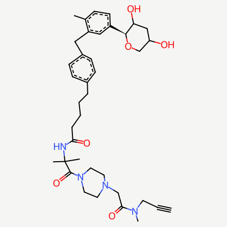 C#CCN(C)C(=O)CN1CCN(C(=O)C(C)(C)NC(=O)CCCCc2ccc(Cc3cc([C@@H]4OCC(O)CC4O)ccc3C)cc2)CC1